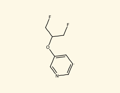 FCC(CF)Oc1c[c]cnc1